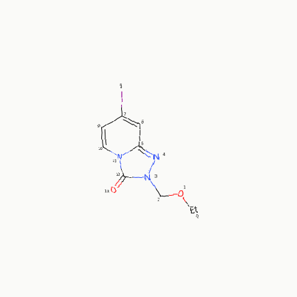 CCOCn1nc2cc(I)ccn2c1=O